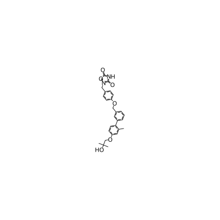 Cc1cc(OCC(C)(C)O)ccc1-c1cccc(COc2ccc(Cn3oc(=O)[nH]c3=O)cc2)c1